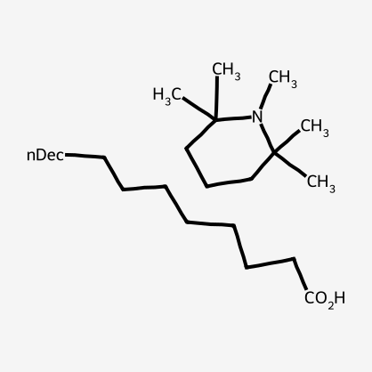 CCCCCCCCCCCCCCCCCC(=O)O.CN1C(C)(C)CCCC1(C)C